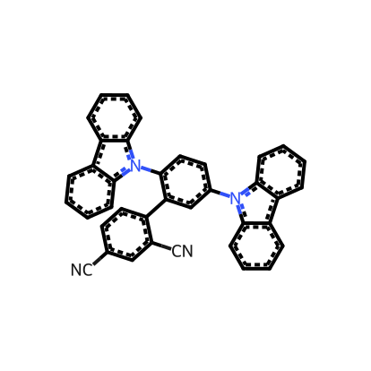 N#Cc1ccc(-c2cc(-n3c4ccccc4c4ccccc43)ccc2-n2c3ccccc3c3ccccc32)c(C#N)c1